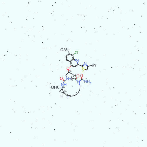 COc1ccc2c(O[C@H]3C[C@H]4C(=O)N(C(N)=O)CCCC/C=C\[C@@H]5C[C@@]5([C]=O)NC(=O)N4C3)cc(-c3nc(C(C)C)cs3)nc2c1Cl